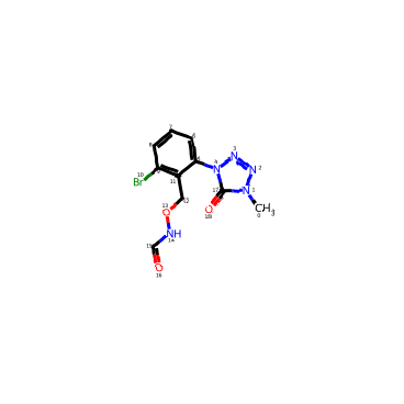 Cn1nnn(-c2cccc(Br)c2CONC=O)c1=O